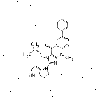 CC(C)=CCn1c(N2CCC3NCC=C32)nc2c1c(=O)n(CC(=O)c1ccccc1)c(=O)n2C